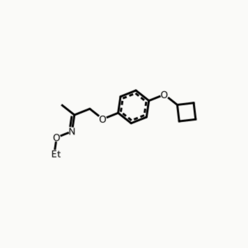 CCON=C(C)COc1ccc(OC2CCC2)cc1